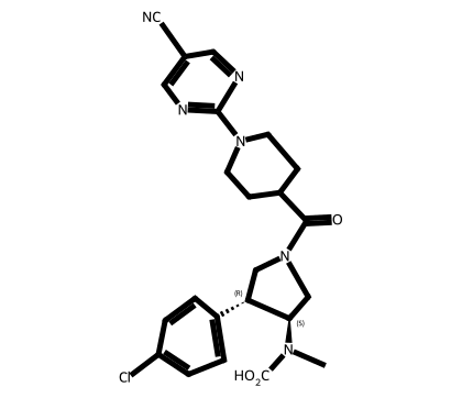 CN(C(=O)O)[C@@H]1CN(C(=O)C2CCN(c3ncc(C#N)cn3)CC2)C[C@H]1c1ccc(Cl)cc1